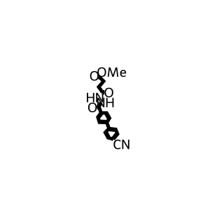 COC(=O)CCC(=O)NNC(=O)c1ccc(-c2ccc(C#N)cc2)cc1